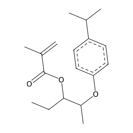 C=C(C)C(=O)OC(CC)C(C)Oc1ccc(C(C)C)cc1